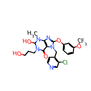 CN1c2nc(Oc3cccc(OC(F)(F)F)c3)n(Cc3ccncc3Cl)c2C(=O)N(CCCO)C1O